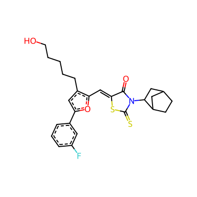 O=C1/C(=C/c2oc(-c3cccc(F)c3)cc2CCCCCO)SC(=S)N1C1CC2CCC1C2